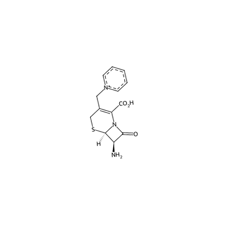 N[C@@H]1C(=O)N2C(C(=O)O)=C(C[n+]3ccccc3)CS[C@H]12